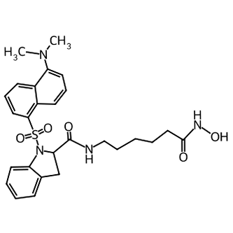 CN(C)c1cccc2c(S(=O)(=O)N3c4ccccc4CC3C(=O)NCCCCCC(=O)NO)cccc12